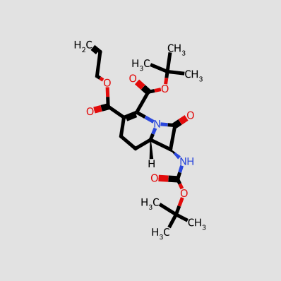 C=CCOC(=O)C1=C(C(=O)OC(C)(C)C)N2C(=O)[C@@H](NC(=O)OC(C)(C)C)[C@@H]2CC1